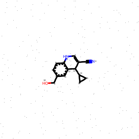 N#CC1=CNc2ccc(CO)cc2C1C1CC1